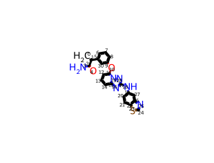 C=C(C(N)=O)c1cccc(Oc2cccc3nc(Nc4ccc5scnc5c4)nn23)c1